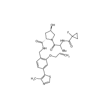 C=CCOc1cc(-c2scnc2C)ccc1CNC(=O)[C@@H]1C[C@@H](O)CN1C(=O)C(NC(=O)C1(F)CC1)C(C)(C)C